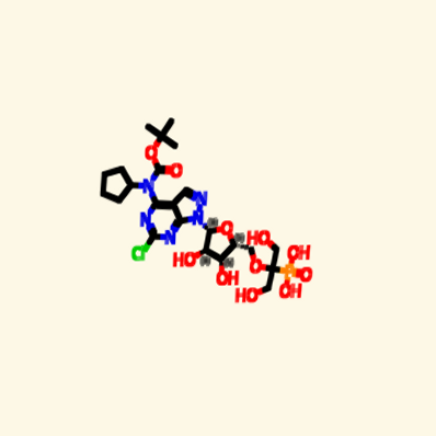 CC(C)(C)OC(=O)N(c1nc(Cl)nc2c1cnn2[C@@H]1O[C@H](COC(CO)(CO)P(=O)(O)O)[C@@H](O)[C@H]1O)C1CCCC1